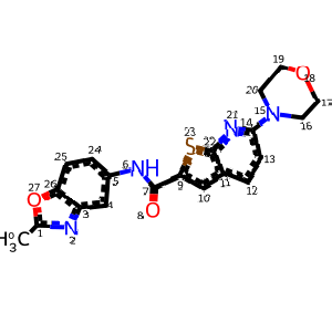 Cc1nc2cc(NC(=O)c3cc4ccc(N5CCOCC5)nc4s3)ccc2o1